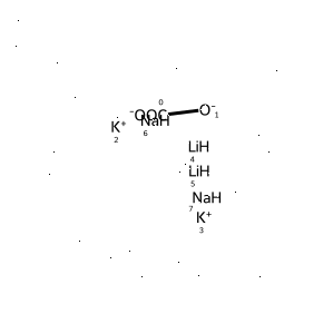 O=C([O-])[O-].[K+].[K+].[LiH].[LiH].[NaH].[NaH]